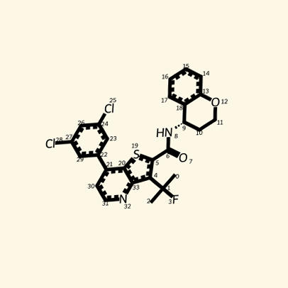 CC(C)(F)c1c(C(=O)N[C@H]2CCOc3ccccc32)sc2c(-c3cc(Cl)cc(Cl)c3)ccnc12